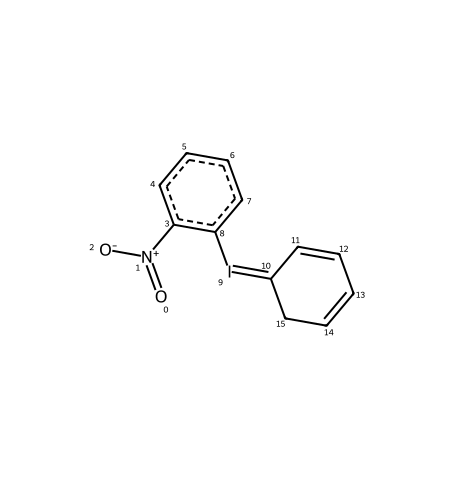 O=[N+]([O-])c1ccccc1/I=C1\C=CC=CC1